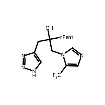 CCCCCC(O)(Cc1c[nH]nn1)Cn1cncc1C(F)(F)F